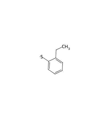 CCc1ccccc1[S]